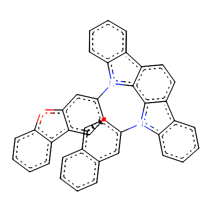 c1ccc2cc(-n3c4ccccc4c4ccc5c6ccccc6n(-c6ccc7c(c6)oc6ccccc67)c5c43)ccc2c1